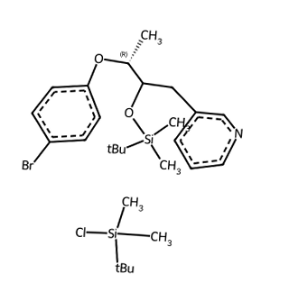 CC(C)(C)[Si](C)(C)Cl.C[C@@H](Oc1ccc(Br)cc1)C(Cc1cccnc1)O[Si](C)(C)C(C)(C)C